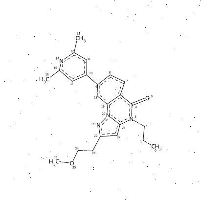 CCCn1c(=O)c2ccc(-c3cc(C)nc(C)c3)cc2n2nc(CCOC)cc12